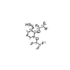 FC(F)C(F)Oc1cccc(SS)c1OC(F)C(F)F